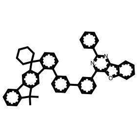 CC1(C)c2ccccc2-c2cc3c(cc21)-c1c(-c2cccc(-c4cccc(-c5nc(-c6ccccc6)nc6c5oc5ccccc56)c4)c2)cccc1C31CCCCC1